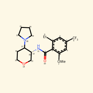 CCc1cc(C(F)(F)F)cc(OC)c1C(=O)N[C@@H]1COCCC1N1CCCC1